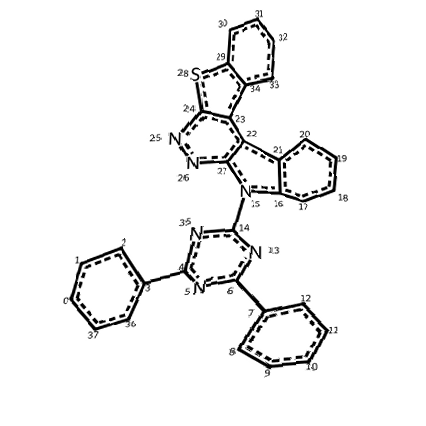 c1ccc(-c2nc(-c3ccccc3)nc(-n3c4ccccc4c4c5c(nnc43)sc3ccccc35)n2)cc1